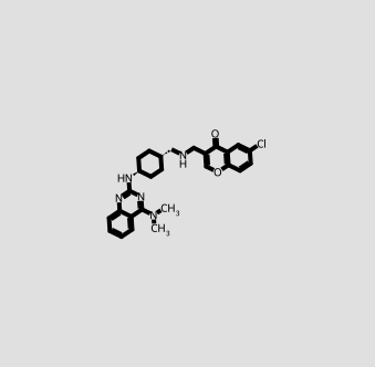 CN(C)c1nc(N[C@H]2CC[C@@H](CNCc3coc4ccc(Cl)cc4c3=O)CC2)nc2ccccc12